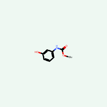 CC(C)(C)OC(=O)Nc1c[c]cc(O)c1